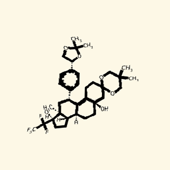 CC1(C)COC2(CCC3=C4[C@@H](CC[C@@]3(O)C2)[C@@H]2CC[C@@](O)(C(F)(F)C(F)(F)F)[C@@]2(C)C[C@@H]4c2ccc([C@@H]3COC(C)(C)O3)cc2)OC1